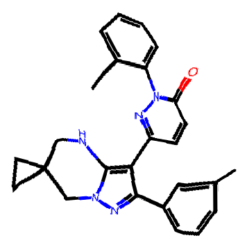 Cc1cccc(-c2nn3c(c2-c2ccc(=O)n(-c4ccccc4C)n2)NCC2(CC2)C3)c1